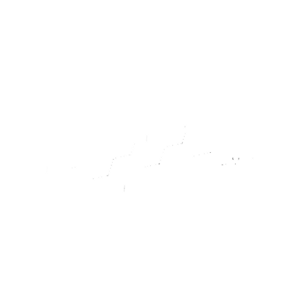 CCCC(C)CC(C)CC(C)CC(C)CC[CH2][Mg][I]